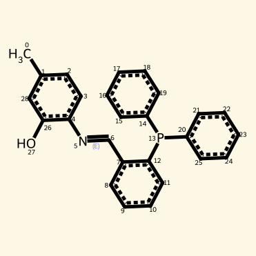 Cc1ccc(/N=C/c2ccccc2P(c2ccccc2)c2ccccc2)c(O)c1